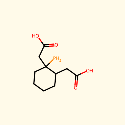 O=C(O)CC1CCCCC1(P)CC(=O)O